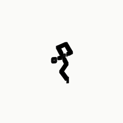 [O-][N+]1(CCI)CCC1